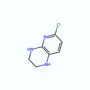 Clc1ccc2c(n1)NCCN2